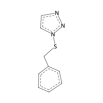 c1ccc(CSn2ccnn2)cc1